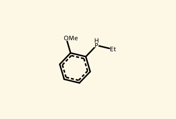 [CH]CPc1ccccc1OC